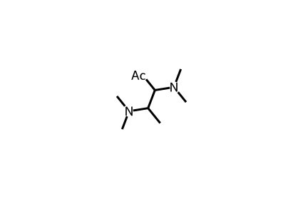 CC(=O)C(C(C)N(C)C)N(C)C